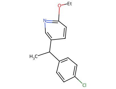 CCOc1ccc(C(C)c2ccc(Cl)cc2)cn1